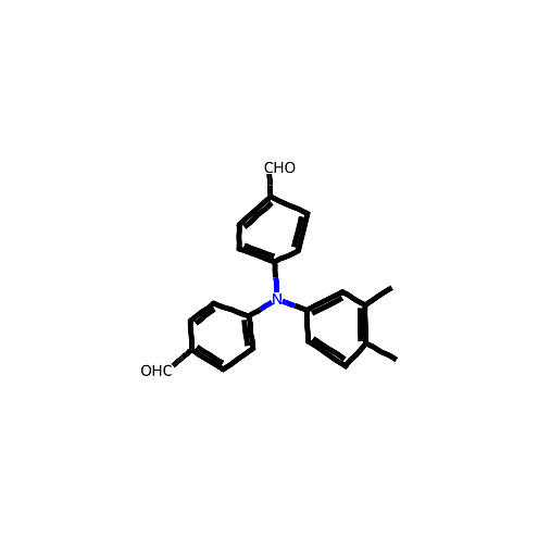 Cc1ccc(N(c2ccc(C=O)cc2)c2ccc(C=O)cc2)cc1C